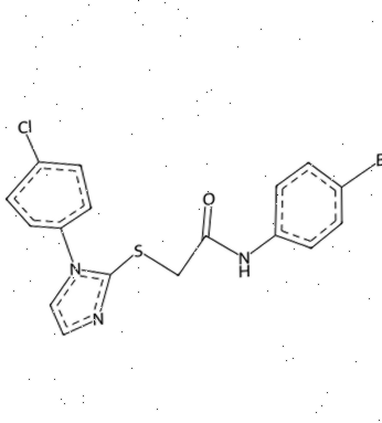 O=C(CSc1nccn1-c1ccc(Cl)cc1)Nc1ccc(Br)cc1